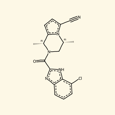 C[C@@H]1c2ccc(C#N)n2[C@H](C)CN1C(=O)c1nc2cccc(Cl)c2[nH]1